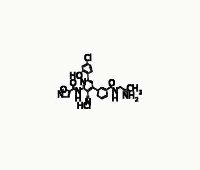 C[C@H](N)CNC(=O)c1cccc(-c2cc(-c3ccc(Cl)cc3O)nc(NC(=O)c3ccno3)c2C#N)c1.Cl